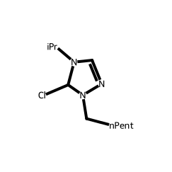 CCCCCCN1N=CN(C(C)C)C1Cl